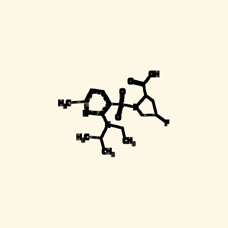 CCN(c1nc(C)ccc1S(=O)(=O)N1CC(F)CC1C(=O)O)C(C)C